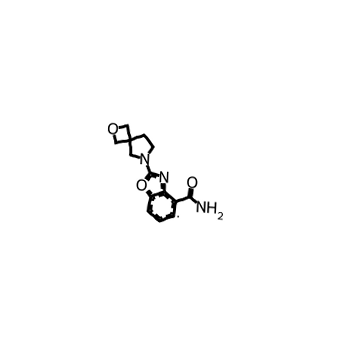 NC(=O)c1[c]ccc2oc(N3CCC4(COC4)C3)nc12